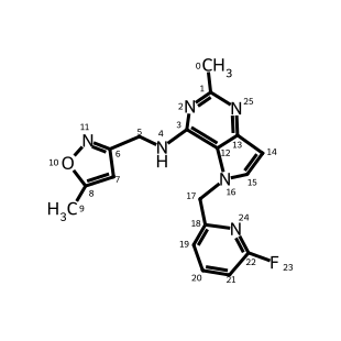 Cc1nc(NCc2cc(C)on2)c2c(ccn2Cc2cccc(F)n2)n1